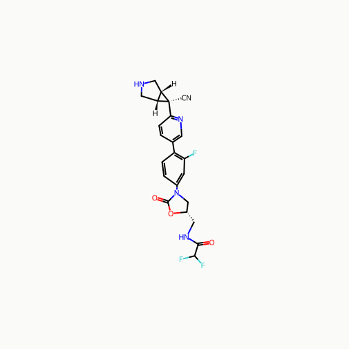 N#C[C@]1(c2ccc(-c3ccc(N4C[C@H](CNC(=O)C(F)F)OC4=O)cc3F)cn2)[C@@H]2CNC[C@@H]21